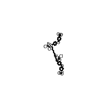 O=C(C(Cl)Br)N(CCCCCCCCN(Cc1ccc(Oc2ccc([N+](=O)[O-])cc2)cc1)C(=O)C(Cl)Br)Cc1ccc(Oc2ccc([N+](=O)[O-])cc2)cc1